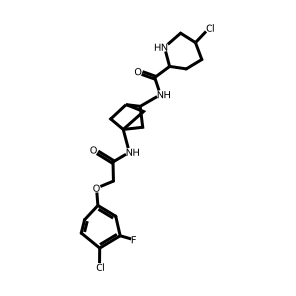 O=C(COc1ccc(Cl)c(F)c1)NC12CC(C1)C(NC(=O)C1CCC(Cl)CN1)C2